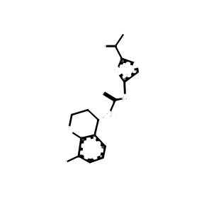 CC(O)c1nc(NC(=O)N[C@H]2CCOc3c(Cl)cccc32)cs1